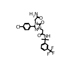 CC(C)(NC(=O)Cn1nc(-c2ccc(Cl)cc2)n(CC(N)=O)c1=O)c1cccc(C(F)(F)F)c1